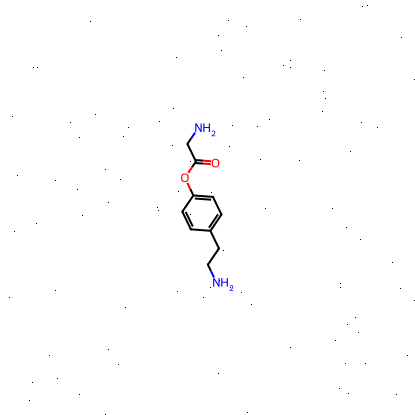 NCCc1ccc(OC(=O)CN)cc1